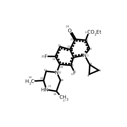 CCOC(=O)c1cn(C2CC2)c2c(F)c(N3CC(C)NC(C)C3)c(F)cc2c1=O